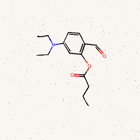 CCCC(=O)Oc1cc(N(CC)CC)ccc1C=O